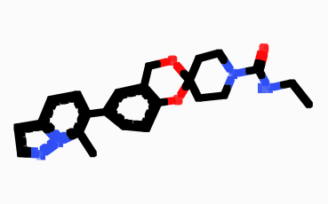 CCNC(=O)N1CCC2(CC1)OCc1cc(-c3ccc4ccnn4c3C)ccc1O2